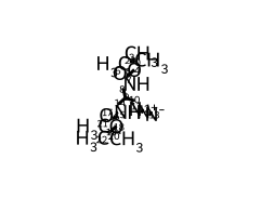 CC(C)(C)OC(=O)NCC(CN=[N+]=[N-])CNC(=O)OC(C)(C)C